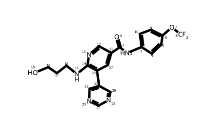 O=C(Nc1ccc(OC(F)(F)F)cc1)c1cnc(NCCCO)c(-c2cncnc2)c1